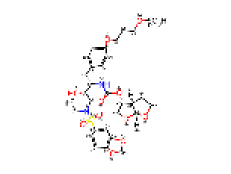 CC(C)CN(C[C@@H](O)[C@H](Cc1ccc(OCCCOS(=O)(=O)O)cc1)NC(=O)O[C@H]1CO[C@H]2OCC[C@H]21)S(=O)(=O)c1ccc2c(c1)OCO2